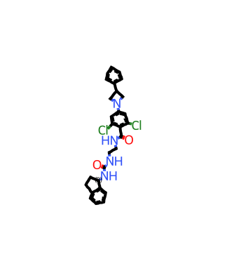 O=C(NCCNC(=O)c1c(Cl)cc(N2CC(c3ccccc3)C2)cc1Cl)N[C@@H]1CCc2ccccc21